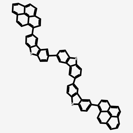 c1cc2ccc3ccc(-c4ccc5sc6ccc(-c7ccc8sc9ccc(-c%10ccc%11sc%12ccc(-c%13ccc%14ccc%15cccc%16ccc%13c%14c%15%16)cc%12c%11c%10)cc9c8c7)cc6c5c4)c4ccc(c1)c2c34